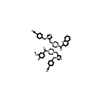 COc1cc(C(=O)N2CCN(Cc3cncn3Cc3ccc(C#N)cc3)CC2)ccc1C.N#Cc1ccc(Cn2cncc2CN2CCN(C(=O)c3ccc4ccccc4n3)CC2)cc1